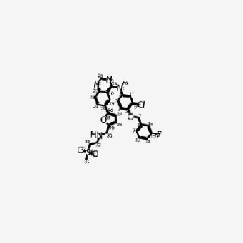 CN(c1ccc(OCc2cccc(F)c2)c(Cl)c1)c1ncnc2ccc(-c3ccc(CNCCS(C)(=O)=O)o3)cc12